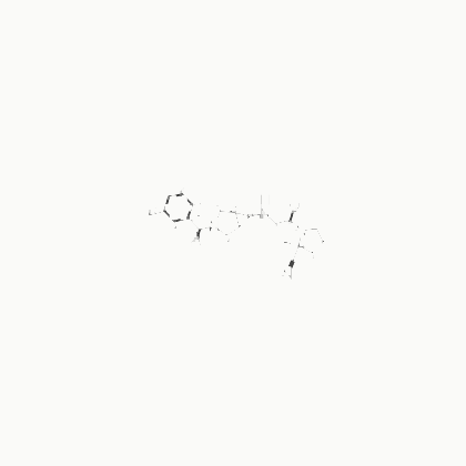 N#C[C@@]1(I)CCCN1C(=O)CNC1C2CN(C(=O)c3cccc(Cl)c3)CC21